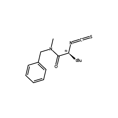 CN(Cc1ccccc1)C(=O)[C@@H](N=C=S)C(C)(C)C